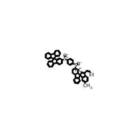 CC/C=C\C1=C(C)C2(C3=C(C=C=C=C3)C3CCC([S+]([O-])c4ccc([S+]([O-])c5ccc6c(c5)C5(c7ccccc7-c7ccccc75)c5ccccc5-6)cc4)CC32)c2cc(C)ccc21